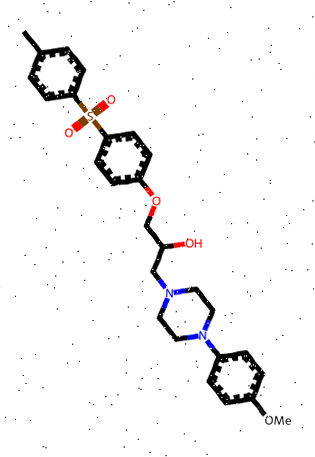 COc1ccc(N2CCN(CC(O)COc3ccc(S(=O)(=O)c4ccc(C)cc4)cc3)CC2)cc1